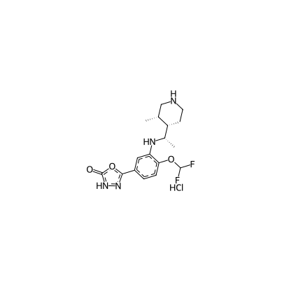 C[C@@H]1CNCC[C@@H]1[C@H](C)Nc1cc(-c2n[nH]c(=O)o2)ccc1OC(F)F.Cl